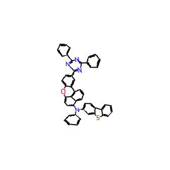 c1ccc(-c2nc(-c3ccccc3)nc(-c3ccc4c(c3)-c3cccc5c(N(c6ccccc6)c6ccc7c(c6)sc6ccccc67)ccc(c35)O4)n2)cc1